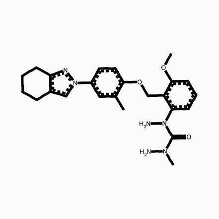 COc1cccc(N(N)C(=O)N(C)N)c1COc1ccc(-n2cc3c(n2)CCCC3)cc1C